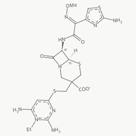 CC[n+]1c(N)cc(SCC2(C(=O)[O-])CS[C@@H]3[C@H](NC(=O)C(=NOC)c4csc(N)n4)C(=O)N3C2)nc1N